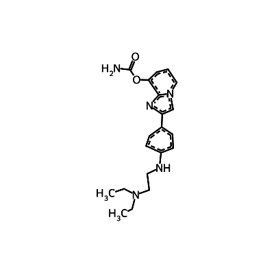 CCN(CC)CCNc1ccc(-c2cn3cccc(OC(N)=O)c3n2)cc1